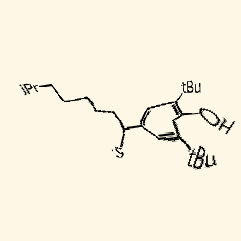 CC(C)CCCCCC([S])c1cc(C(C)(C)C)c(O)c(C(C)(C)C)c1